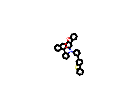 c1cc(-c2ccc3c(c2)sc2ccccc23)cc(N(c2ccc3oc4ccccc4c3c2)c2ccccc2-c2cccc3ccccc23)c1